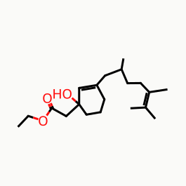 CCOC(=O)CC1(O)C=C(CC(C)CCC(C)=C(C)C)CCC1